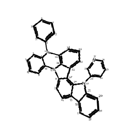 c1ccc(N2c3ccccc3-n3c4ccc5c6ccccc6n(-c6cccnc6)c5c4c4cccc2c43)cc1